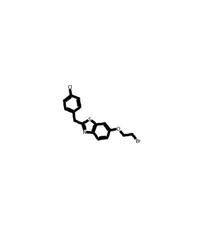 Clc1ccc(Cc2nc3ccc(OCCBr)cc3s2)cc1